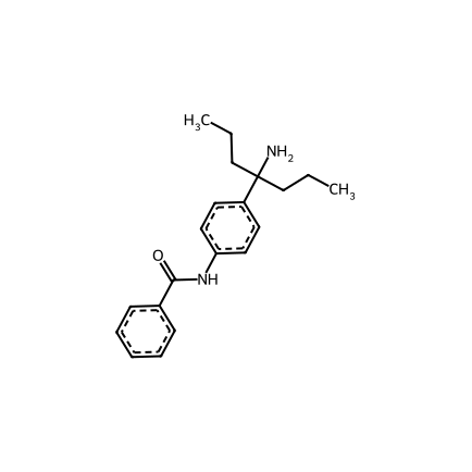 CCCC(N)(CCC)c1ccc(NC(=O)c2ccccc2)cc1